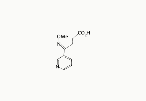 CON=C(CCC(=O)O)c1cccnc1